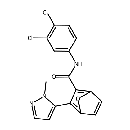 Cn1nccc1-c1c(C(=O)Nc2ccc(Cl)c(Cl)c2)c2ccc1o2